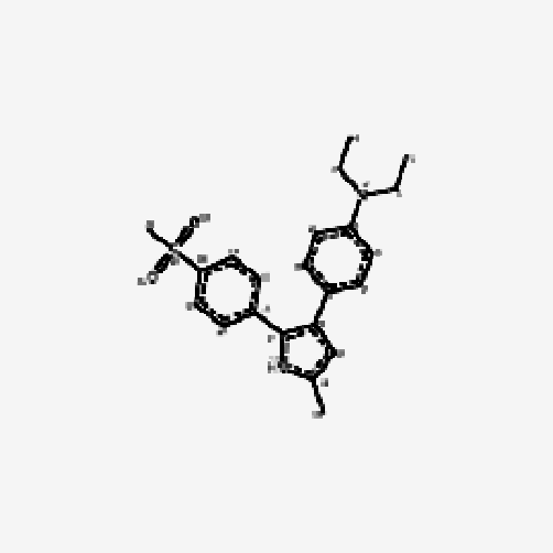 CCN(CC)c1ccc(-c2cc(C)[nH]c2-c2ccc(S(C)(=O)=O)cc2)cc1